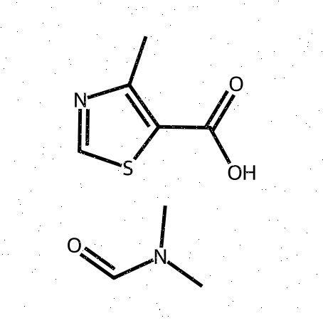 CN(C)C=O.Cc1ncsc1C(=O)O